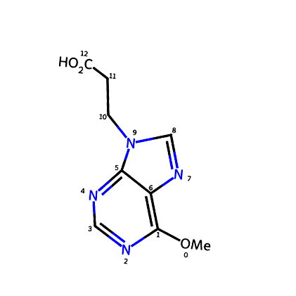 COc1ncnc2c1ncn2CCC(=O)O